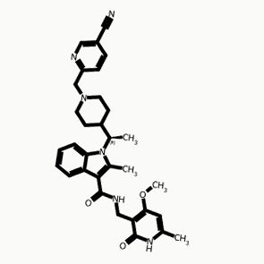 COc1cc(C)[nH]c(=O)c1CNC(=O)c1c(C)n([C@H](C)C2CCN(Cc3ccc(C#N)cn3)CC2)c2ccccc12